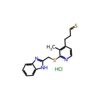 Cc1c(CCC=S)ccnc1SCc1nc2ccccc2[nH]1.Cl